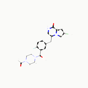 CCC(=O)N1CCN(C(=O)c2cc(Cc3c[nH]c(=O)c4cc(Cl)cn34)ccc2F)CC1